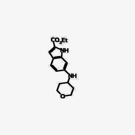 CCOC(=O)c1cc2ccc(NC3CCOCC3)cc2[nH]1